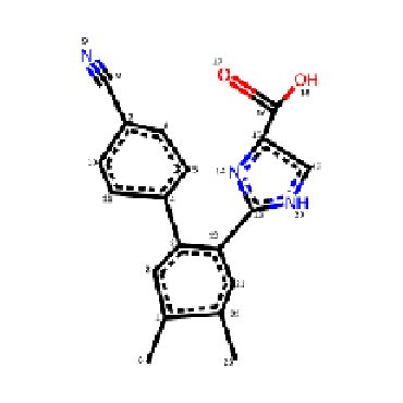 Cc1cc(-c2ccc(C#N)cc2)c(-c2nc(C(=O)O)c[nH]2)cc1C